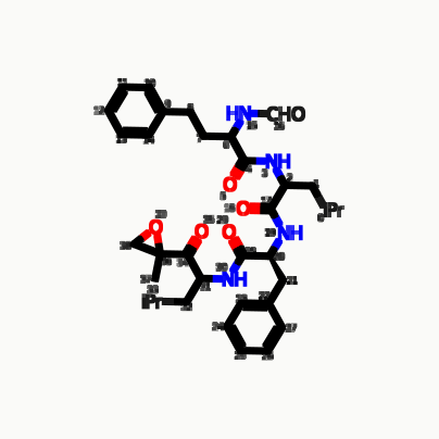 CC(C)CC(NC(=O)C(CCc1ccccc1)NC=O)C(=O)N[C@@H](Cc1ccccc1)C(=O)NC(CC(C)C)C(=O)C1(C)CO1